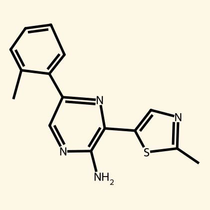 Cc1ncc(-c2nc(-c3ccccc3C)cnc2N)s1